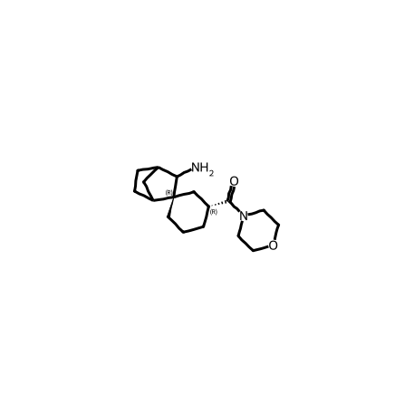 NC1C2CCC(C2)[C@]12CCC[C@@H](C(=O)N1CCOCC1)C2